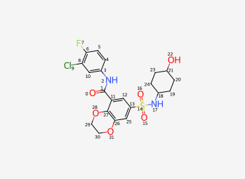 O=C(Nc1ccc(F)c(Cl)c1)c1cc(S(=O)(=O)NC2CCC(O)CC2)cc2c1OCCO2